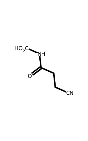 N#CCCC(=O)NC(=O)O